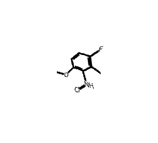 COc1ccc(F)c(C)c1NCl